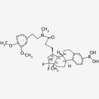 COc1ccc(CCN(C)C(=O)CC[C@@H]2CC(F)(F)[C@@]3(C)CC[C@@H]4c5ccc(B(O)O)cc5CC[C@H]4[C@H]23)cc1OC